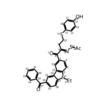 CCn1c2ccc(C(=O)C(CCSc3ccc(O)cc3)=NSC(C)=O)cc2c2cc(C(=O)c3ccccc3)ccc21